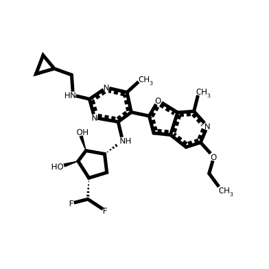 CCOc1cc2cc(-c3c(C)nc(NCC4CC4)nc3N[C@@H]3C[C@H](C(F)F)[C@@H](O)[C@H]3O)oc2c(C)n1